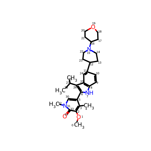 COc1c(C)c(-c2[nH]c3ccc(C4CCN(C5CCOCC5)CC4)cc3c2C(C)C)cn(C)c1=O